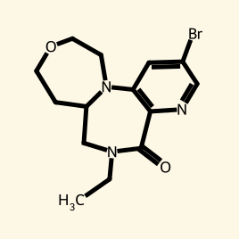 CCN1CC2CCOCCN2c2cc(Br)cnc2C1=O